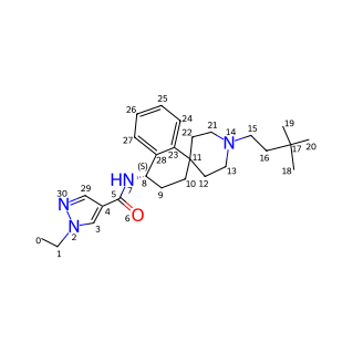 CCn1cc(C(=O)N[C@H]2CCC3(CCN(CCC(C)(C)C)CC3)c3ccccc32)cn1